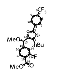 CCCCc1nc(-c2ccc(C(F)(F)F)cc2)sc1C(OC)c1ccc(C(=O)OC)c(F)c1